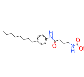 CCCCCCCCc1ccc(NC(=O)CCCNC(=O)O)cc1